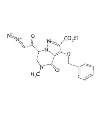 CCOC(=O)c1nn2c(c1OCc1ccccc1)C(=O)N(C)CC2C(=O)C=[N+]=[N-]